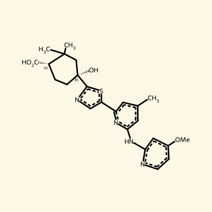 COc1ccnc(Nc2cc(C)cc(-c3cnc([C@@]4(O)CC[C@H](C(=O)O)C(C)(C)C4)s3)n2)c1